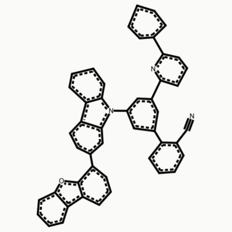 N#Cc1ccccc1-c1cc(-c2cccc(-c3ccccc3)n2)cc(-n2c3ccccc3c3ccc(-c4cccc5c4oc4ccccc45)cc32)c1